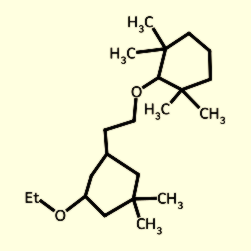 CCOC1CC(CCOC2C(C)(C)CCCC2(C)C)CC(C)(C)C1